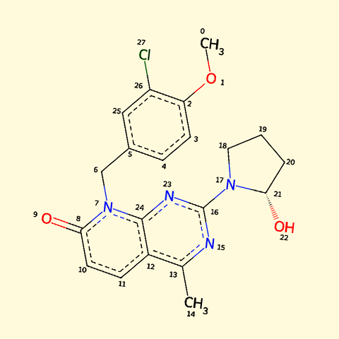 COc1ccc(Cn2c(=O)ccc3c(C)nc(N4CCC[C@@H]4O)nc32)cc1Cl